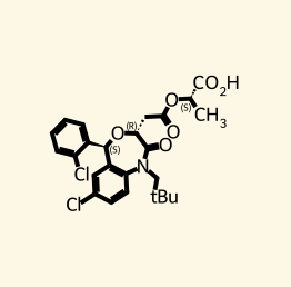 C[C@H](OC(=O)C[C@H]1O[C@H](c2ccccc2Cl)c2cc(Cl)ccc2N(CC(C)(C)C)C1=O)C(=O)O